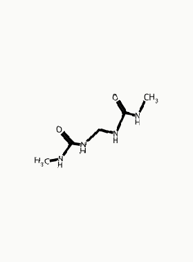 CNC(=O)NCNC(=O)NC